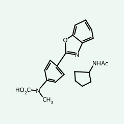 CC(=O)NC1CCCC1.CN(C(=O)O)c1ccc(-c2nc3ccccc3o2)cc1